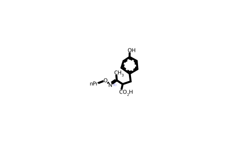 CCCO/N=C(\C)C(Cc1ccc(O)cc1)C(=O)O